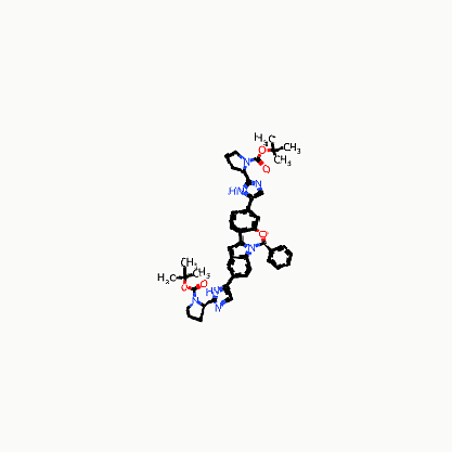 CC(C)(C)OC(=O)N1CCCC1c1ncc(-c2ccc3c(c2)O[C@@H](c2ccccc2)n2c-3cc3cc(-c4cnc(C5CCCN5C(=O)OC(C)(C)C)[nH]4)ccc32)[nH]1